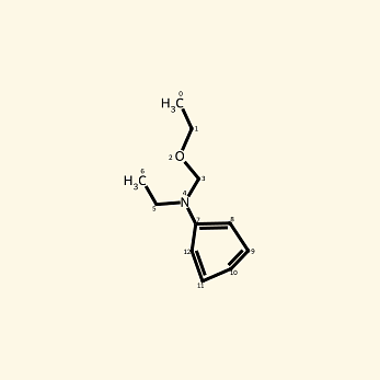 CCOCN(CC)c1ccccc1